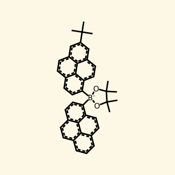 CC(C)(C)c1cc2ccc3ccc([B-]4(c5ccc6ccc7cccc8ccc5c6c78)OC(C)(C)C(C)(C)O4)c4ccc(c1)c2c34